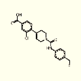 O=C(O)c1cnc(C2=CCN(C(=O)Nc3ccc(CF)cc3)CC2)c(Cl)c1